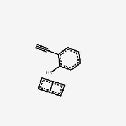 C#Cc1ccccc1S.c1cc2ccc1-2